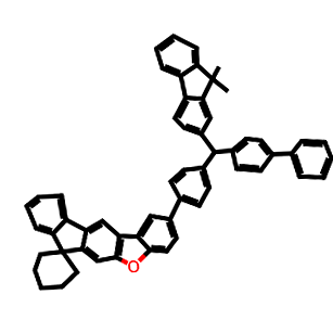 CC1(C)c2ccccc2-c2ccc(C(c3ccc(-c4ccccc4)cc3)c3ccc(-c4ccc5oc6cc7c(cc6c5c4)-c4ccccc4C74CCCCC4)cc3)cc21